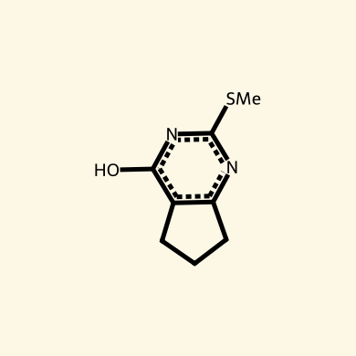 CSc1nc(O)c2c(n1)CCC2